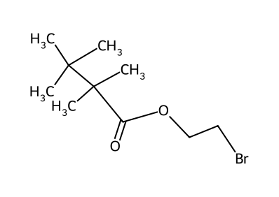 CC(C)(C)C(C)(C)C(=O)OCCBr